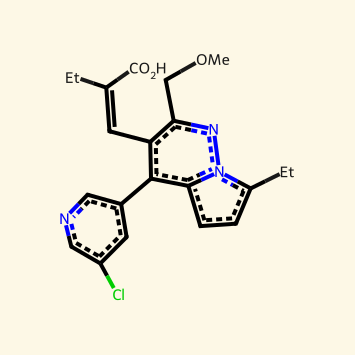 CCC(=Cc1c(COC)nn2c(CC)ccc2c1-c1cncc(Cl)c1)C(=O)O